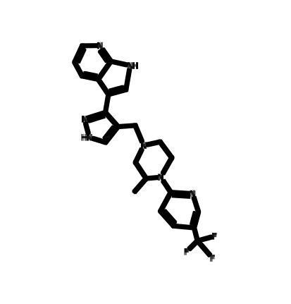 CC1CN(Cc2c[nH]nc2-c2c[nH]c3ncccc23)CCN1c1ccc(C(F)(F)F)cn1